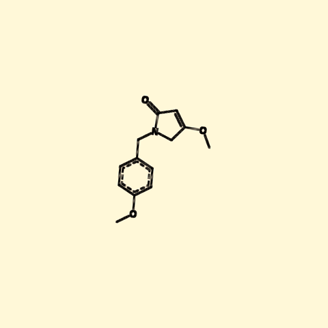 COC1=CC(=O)N(Cc2ccc(OC)cc2)C1